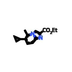 CCOC(=O)c1cn2c(C)c(C3CC3)ccc2n1